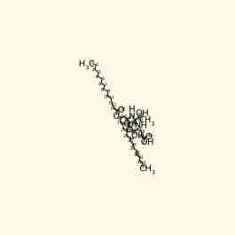 CCCCCCCCCCCCCCCC(=O)OC(CCCCCCCCCCCCCCC)CC(=O)N[C@H](C(=O)N[C@@H](CCC(=O)O)C(=O)O)C(C)O